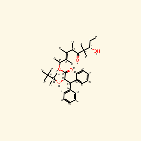 CC[C@H](O)C(C)(C)C(=O)[C@H](C)/C(C)=C(\C)C(C)OC(=O)[C@H](O[Si](C)(C)C(C)(C)C)C(c1ccccc1)c1ccccc1